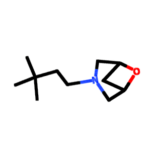 CC(C)(C)CCN1CC2CC(C1)O2